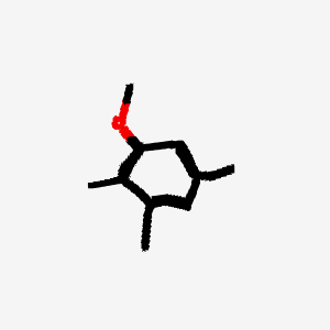 CO[C]1C=C(C)C=C(C)C1C